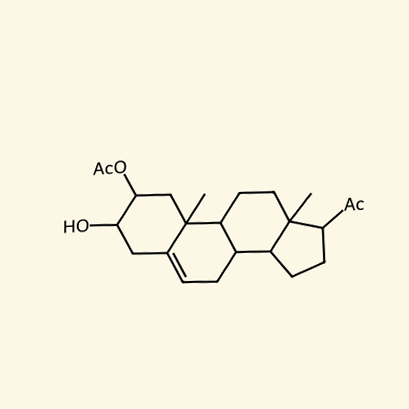 CC(=O)OC1CC2(C)C(=CCC3C2CCC2(C)C(C(C)=O)CCC32)CC1O